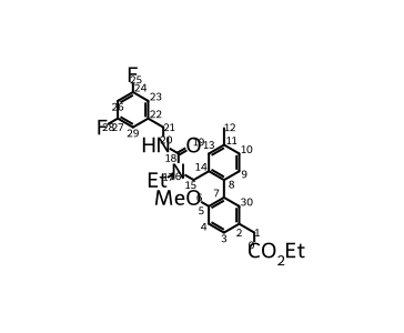 CCOC(=O)Cc1ccc(OC)c(-c2ccc(C)cc2CN(CC)C(=O)NCc2cc(F)cc(F)c2)c1